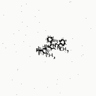 CO[C@@H](C(=O)N1CCC(Nc2cc(C(F)(F)F)cc(C)n2)C1c1ccccc1)c1ccccc1